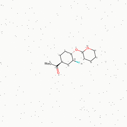 COC(=O)[C@H]1CC[C@H](OC2CCCCO2)[C@@H](F)C1